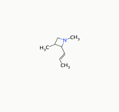 CC=CC1C(C)CN1C